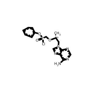 C[C@H](Cn1cnc2c(N)ncnc21)OCP(=O)(Cl)Oc1ccccc1